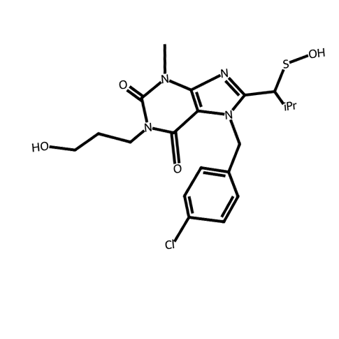 CC(C)C(SO)c1nc2c(c(=O)n(CCCO)c(=O)n2C)n1Cc1ccc(Cl)cc1